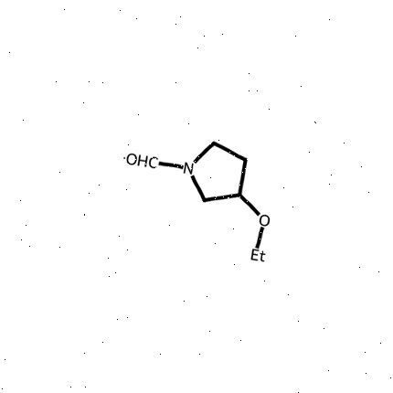 CCOC1CCN([C]=O)C1